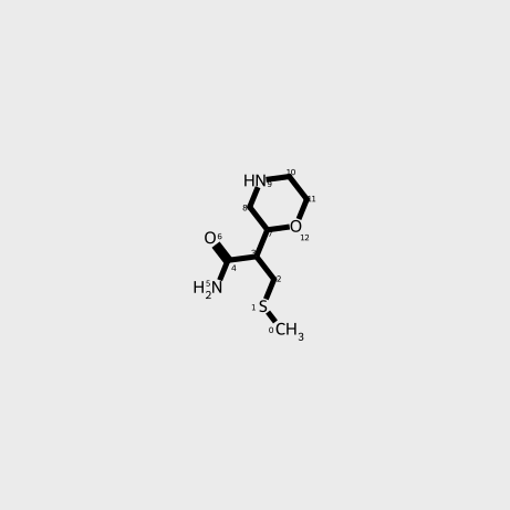 CSCC(C(N)=O)C1CNCCO1